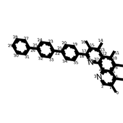 Cc1cnc2c(c1C)c(C)c(C)c1c(C)c(C)c(-c3ccc(-c4ccc(-c5ccccc5)cc4)cc3)nc12